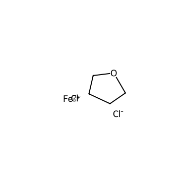 C1CCOC1.[Cl-].[Cl-].[Fe+2]